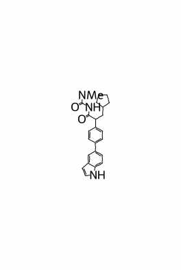 CNC(=O)NC(=O)C(CC1CCCC1)c1ccc(-c2ccc3[nH]ccc3c2)cc1